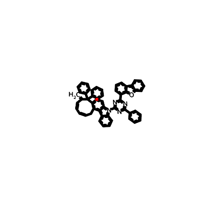 C=C1/C=C\C=C/Cc2c(ccc3c2c2ccccc2n3-c2nc(-c3ccccc3)nc(-c3cccc4c3oc3ccccc34)n2)C1(c1ccccc1)c1ccccc1